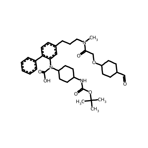 CN(CCCc1ccc(-c2ccccc2)c(N(C(=O)O)C2CCC(NC(=O)OC(C)(C)C)CC2)c1)C(=O)COC1CCC(C=O)CC1